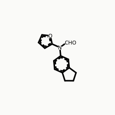 O=CN(c1ccc2c(c1)CCC2)c1ccco1